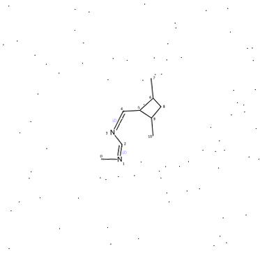 C/N=C\N=C/C1C(C)CC1C